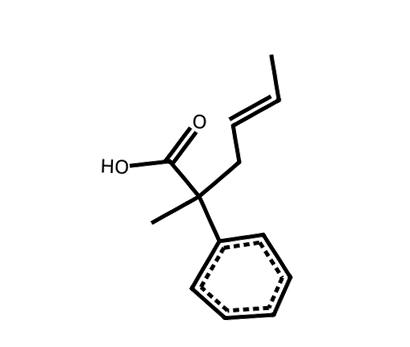 CC=CCC(C)(C(=O)O)c1ccccc1